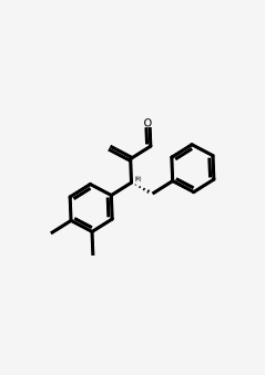 C=C(C=O)[C@H](Cc1ccccc1)c1ccc(C)c(C)c1